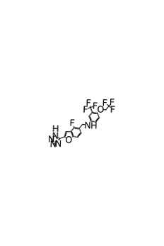 Fc1c(CNc2ccc(OCC(F)(F)F)c(C(F)(F)F)c2)ccc2oc(-c3nnn[nH]3)cc12